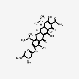 COC(=O)N(CC(=O)Nc1cc(N(C)C)c2c(c1O)C(=O)C1=C(O)[C@]3(O)C(=O)C(C(N)=O)=C(O)[C@@H](N(C)C)[C@@H]3C[C@@H]1C2)C(C)(C)C